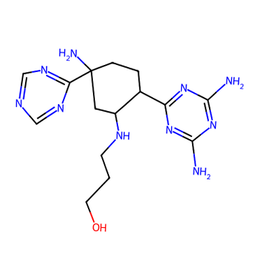 Nc1nc(N)nc(C2CCC(N)(c3ncncn3)CC2NCCCO)n1